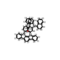 c1ccc(-c2ccc(-n3c4ccccc4c4ccc5c6ccccc6n(-c6ccc7c8ccccc8n(-c8cccc9ccccc89)c7c6)c5c43)cc2)cc1